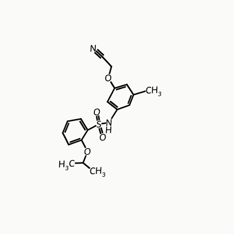 Cc1cc(NS(=O)(=O)c2ccccc2OC(C)C)cc(OCC#N)c1